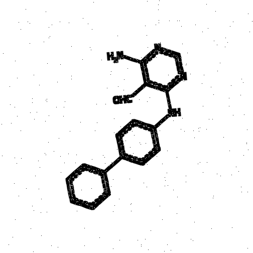 Nc1ncnc(Nc2ccc(-c3ccccc3)cc2)c1C=O